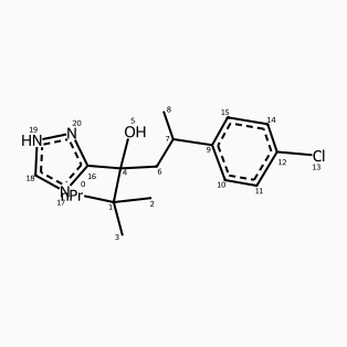 CCCC(C)(C)C(O)(CC(C)c1ccc(Cl)cc1)c1nc[nH]n1